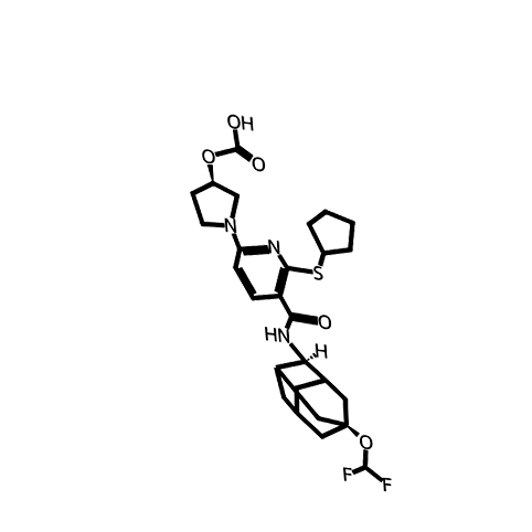 O=C(O)O[C@@H]1CCN(c2ccc(C(=O)N[C@H]3C4CC5CC3C[C@@](OC(F)F)(C5)C4)c(SC3CCCC3)n2)C1